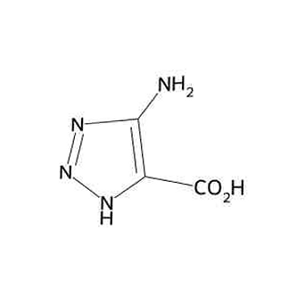 Nc1nn[nH]c1C(=O)O